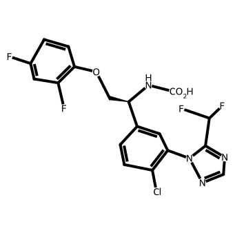 O=C(O)N[C@H](COc1ccc(F)cc1F)c1ccc(Cl)c(-n2ncnc2C(F)F)c1